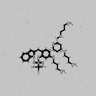 CCCCOC[C@@H]1C[C@H](OCCCC)C[C@H](c2cc(Cc3cc4ccccc4s3)c(OS(=O)(=O)C(F)(F)F)cc2OCCCC)O1